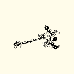 CC(C)(C)[C@H](c1cc(-c2cc(F)ccc2F)cn1Cc1ccccc1)N(CCCNC(=O)[C@H](CC(N)=O)NC(=O)Cc1ccncc1)C(=O)CSC[C@H](NC(=O)CCOCCOCCOCCOCCNC(=O)CN1C(=O)C=CC1=O)C(=O)O